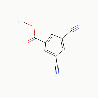 COC(=O)c1cc(C#N)cc(C#N)c1